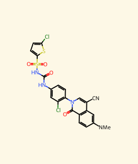 CNc1ccc2c(=O)n(-c3ccc(NC(=O)NS(=O)(=O)c4ccc(Cl)s4)cc3Cl)cc(C#N)c2c1